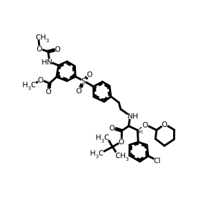 COC(=O)Nc1ccc(S(=O)(=O)c2ccc(CCNC(C(=O)OC(C)(C)C)[C@H](OC3CCCCO3)c3cccc(Cl)c3)cc2)cc1C(=O)OC